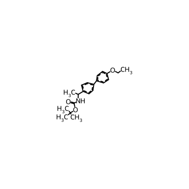 CCOc1ccc(-c2ccc(C(C)NC(=O)OC(C)(C)C)cc2)cc1